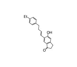 CCc1ccc(CCC=Cc2cc3c(cc2O)CCC3=O)cc1